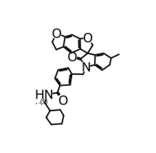 CC1C=C2C(=CC1)N(Cc1cccc(C(=O)N[C@@H](C)C3CCCCC3)c1)C(=O)C21COc2cc3c(cc21)CCO3